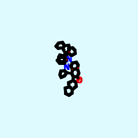 c1cc(-c2cccc3ccccc23)cc(N(c2ccccc2-c2cccc3oc4cc5ccccc5cc4c23)c2ccccc2-n2c3ccccc3c3ccccc32)c1